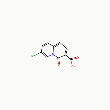 O=C(O)c1ccc2ccc(Br)cn2c1=O